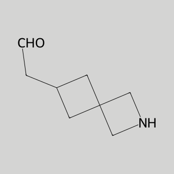 O=CCC1CC2(CNC2)C1